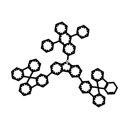 C1=CC2=C(CC1)c1ccccc1C21c2ccccc2-c2ccc(-c3ccc4c(c3)c3cc(-c5ccc6c(c5)C5(c7ccccc7-c7ccccc75)c5ccccc5-6)ccc3n4-c3ccc4c(-c5ccccc5)c5ccccc5c(-c5ccccc5)c4c3)cc21